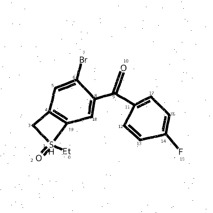 CC[SH]1(=O)Cc2cc(Br)c(C(=O)c3ccc(F)cc3)cc21